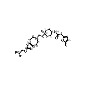 Cc1ncc(CC(=O)N[C@H]2CC[C@](F)(CCN3CCc4nc(OCC(F)F)sc4CC3)CC2)o1